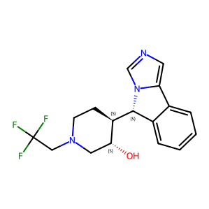 O[C@@H]1CN(CC(F)(F)F)CC[C@H]1[C@H]1c2ccccc2-c2cncn21